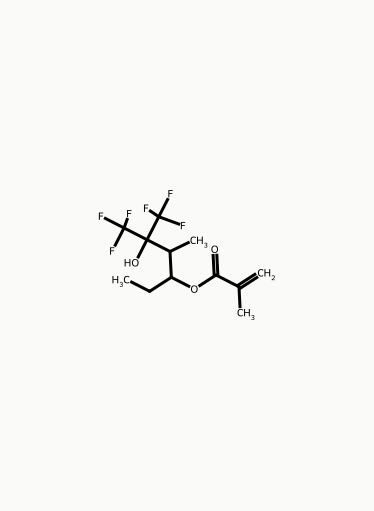 C=C(C)C(=O)OC(CC)C(C)C(O)(C(F)(F)F)C(F)(F)F